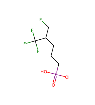 O=P(O)(O)CCCC(CF)C(F)(F)F